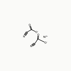 N#CC(=O)[O-].N#CC(=O)[O-].[Ni+2]